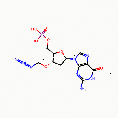 [N-]=[N+]=NCO[C@H]1C[C@H](n2cnc3c(=O)[nH]c(N)nc32)O[C@@H]1COP(=O)(O)O